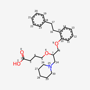 O=C(O)CCCOC(COc1ccccc1CCc1ccccc1)CN1CCCCC1